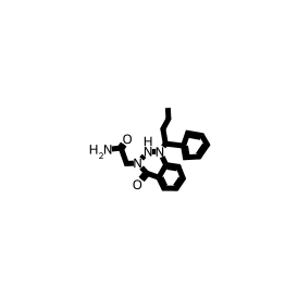 CCCC(c1ccccc1)N1NN(CC(N)=O)C(=O)c2ccccc21